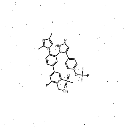 Cc1cn(-c2ccc(-c3cc(F)c(CO)c(S(C)(=O)=O)c3)cc2N2NNC=C2c2ccc(OC(F)(F)F)cc2)c(C)n1